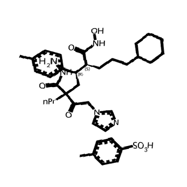 CCCC(C[C@@H](c1ccc(C)cc1)[C@H](CCCC1CCCCC1)C(=O)NO)(C(=O)Cn1ccnc1)C(=O)NN.Cc1ccc(S(=O)(=O)O)cc1